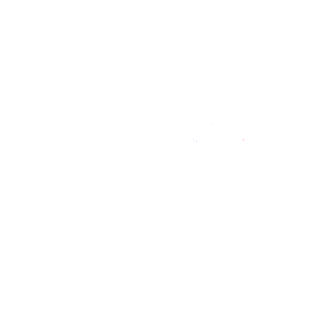 N#Cc1ccc(OC2CCC(NC(=O)C3(C(=O)O)CC3)CC2)cc1Cl